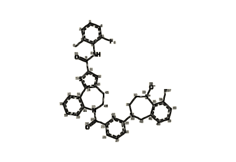 Cc1cccc(F)c1NC(=O)c1cc2c(s1)-c1ccccc1N(C(=O)c1cccc(N3CC[S+]([O-])c4c(F)cccc4C3)n1)CC2